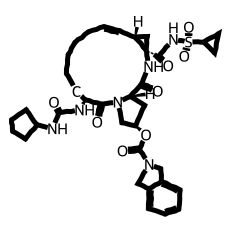 O=C(NC1CCCC1)N[C@H]1CCCCC/C=C\[C@@H]2C[C@@]2(C(=O)NS(=O)(=O)C2CC2)NC(=O)[C@@H]2C[C@@H](OC(=O)N3Cc4ccccc4C3)CN2C1=O